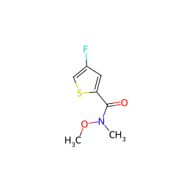 CON(C)C(=O)c1cc(F)cs1